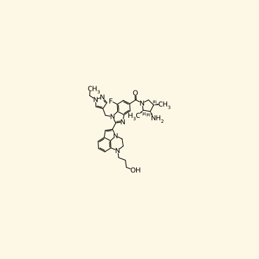 CCn1cc(Cn2c(-c3cc4cccc5c4n3CCN5CCCO)nc3cc(C(=O)N4C[C@@H](C)[C@@H](N)[C@H]4C)cc(F)c32)cn1